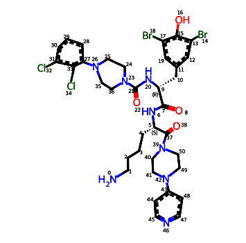 NCCCC[C@H](NC(=O)[C@@H](Cc1cc(Br)c(O)c(Br)c1)NC(=O)N1CCN(c2cccc(Cl)c2Cl)CC1)C(=O)N1CCN(c2ccncc2)CC1